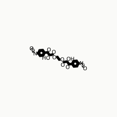 O=C=Nc1ccc(C(=O)C(O)C(=O)OCCOC(=O)C(O)C(=O)c2ccc(N=C=O)cc2)cc1